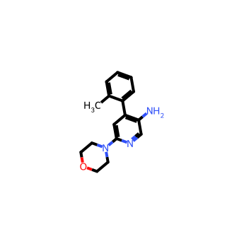 Cc1ccccc1-c1cc(N2CCOCC2)ncc1N